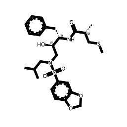 CSC[C@@H](C)C(=O)N[C@@H](Cc1ccccc1)[C@H](O)CN(CC(C)C)S(=O)(=O)c1ccc2c(c1)OCO2